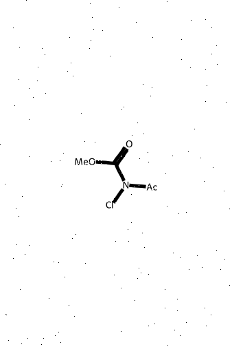 [CH2]OC(=O)N(Cl)C(C)=O